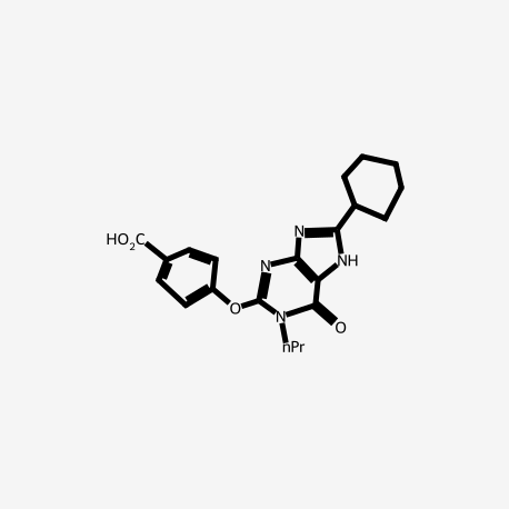 CCCn1c(Oc2ccc(C(=O)O)cc2)nc2nc(C3CCCCC3)[nH]c2c1=O